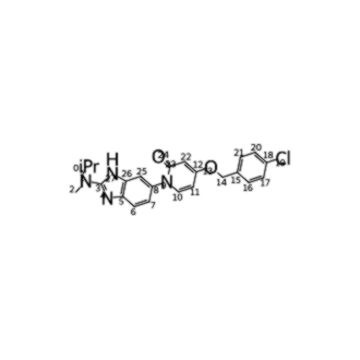 CC(C)N(C)c1nc2ccc(-n3ccc(OCc4ccc(Cl)cc4)cc3=O)cc2[nH]1